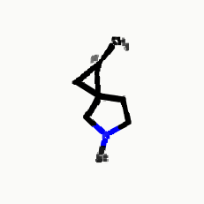 CCN1CCC2(C[C@H]2C)C1